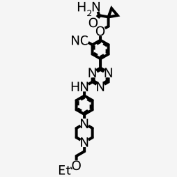 CCOCCN1CCN(c2ccc(Nc3ncnc(-c4ccc(OCC5(C(N)=O)CC5)c(C#N)c4)n3)cc2)CC1